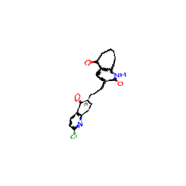 O=C1CCCc2[nH]c(=O)c(CC[C@H]3CCc4nc(Cl)ccc4C3=O)cc21